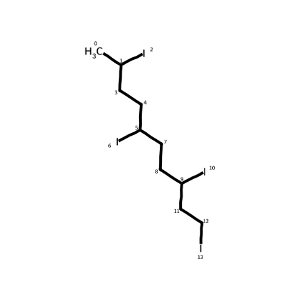 CC(I)CCC(I)CCC(I)CCI